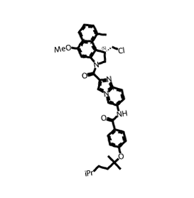 COc1cc2c(c3c(C)cccc13)[C@H](CCl)CN2C(=O)c1cn2cc(NC(=O)c3ccc(OC(C)(C)CCC(C)C)cc3)ccc2n1